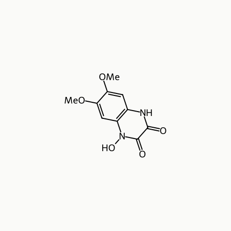 COc1cc2[nH]c(=O)c(=O)n(O)c2cc1OC